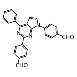 O=Cc1ccc(-c2nc(-c3ccccc3)c3ccn(-c4ccc(C=O)cc4)c3n2)cc1